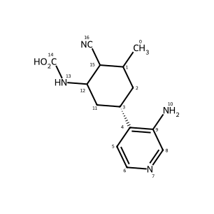 CC1C[C@H](c2ccncc2N)CC(NC(=O)O)C1C#N